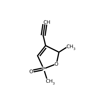 C#CC1=CP(C)(=O)OC1C